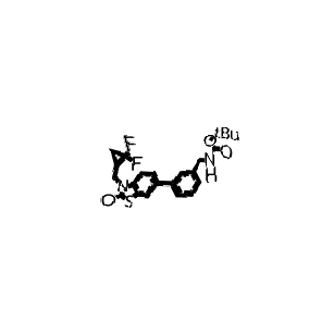 CC(C)(C)OC(=O)NCc1cccc(-c2ccc3c(c2)sc(=O)n3CC2CC2(F)F)c1